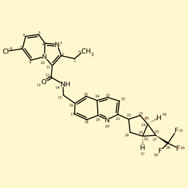 CCc1nc2ccc(Cl)cn2c1C(=O)NCc1ccc2nc(C3C[C@@H]4[C@H](C3)[C@@H]4C(F)(F)F)ccc2c1